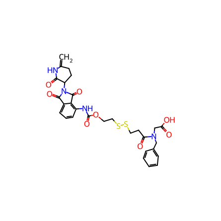 C=C1CCC(N2C(=O)c3cccc(NC(=O)OCCSSCCC(=O)N(CC(=O)O)Cc4ccccc4)c3C2=O)C(=O)N1